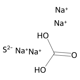 O=C(O)O.[Na+].[Na+].[Na+].[Na+].[S-2]